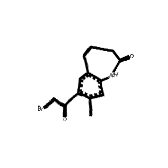 Cc1cc2c(cc1C(=O)CBr)CCCC(=O)N2